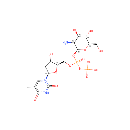 Cc1cn([C@H]2CC(O)[C@@H](COP(=O)(O[C@@H]3O[C@H](CO)[C@@H](O)[C@H](O)[C@@H]3N)OP(=O)(O)O)O2)c(=O)[nH]c1=O